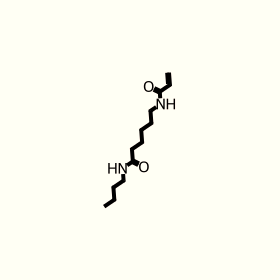 C=CC(=O)NCCCCCC(=O)NCCCC